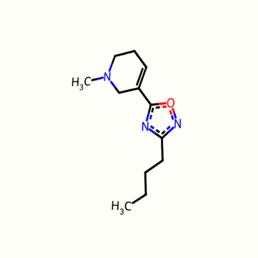 CCCCc1noc(C2=CCCN(C)C2)n1